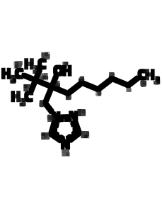 CCCCCCC(O)(Cn1cncn1)C(C)(C)C